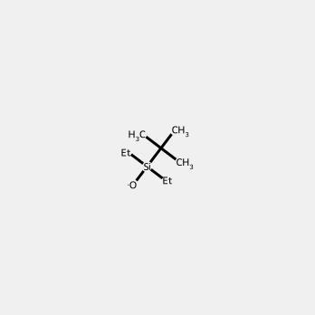 CC[Si]([O])(CC)C(C)(C)C